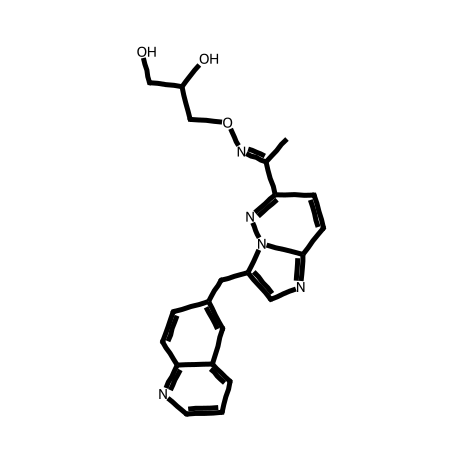 CC(=NOCC(O)CO)c1ccc2ncc(Cc3ccc4ncccc4c3)n2n1